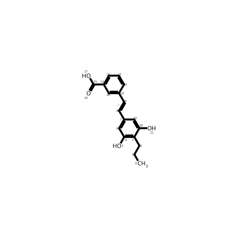 CCCc1c(O)cc(/C=C/c2cccc(C(=O)O)c2)cc1O